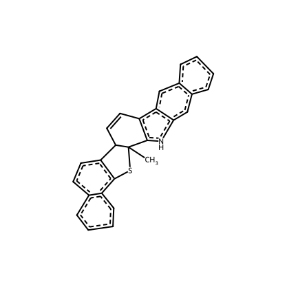 CC12Sc3c(ccc4ccccc34)C1C=Cc1c2[nH]c2cc3ccccc3cc12